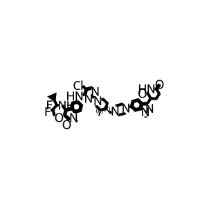 C[C@H]1CN(c2ncc(Cl)c(Nc3ccc4c(c3)c3c(c(=O)n4C)OCC(F)(F)C(C4CC4)N3)n2)CC[C@H]1CN1CCN(c2ccc3c(C4CCC(=O)NC4=O)nn(C)c3c2)CC1